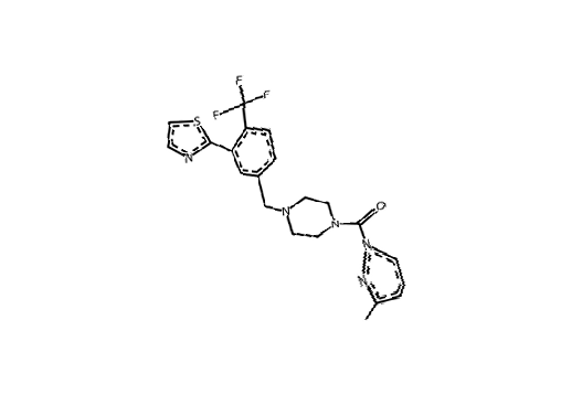 Cc1ccn(C(=O)N2CCN(Cc3ccc(C(F)(F)F)c(-c4nccs4)c3)CC2)n1